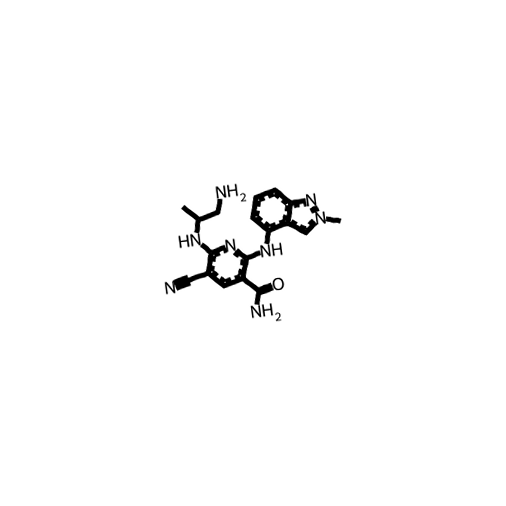 CC(CN)Nc1nc(Nc2cccc3nn(C)cc23)c(C(N)=O)cc1C#N